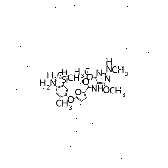 CNc1nc(OC)c(NC(=O)c2ccc(Oc3cc([SiH](C)C)c(N)cc3C)o2)c(OC)n1